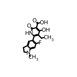 CCc1c(-c2cc3c(cc2F)N(C)CC3)[nH]c(=O)c(C(=O)O)c1O